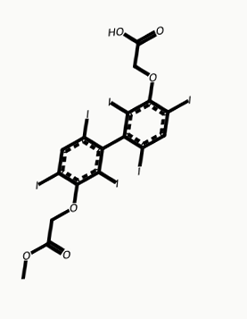 COC(=O)COc1c(I)cc(I)c(-c2c(I)cc(I)c(OCC(=O)O)c2I)c1I